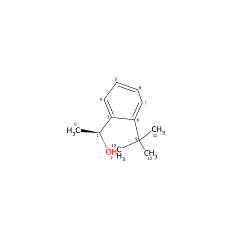 C[C@H](O)c1ccccc1C(C)(C)C